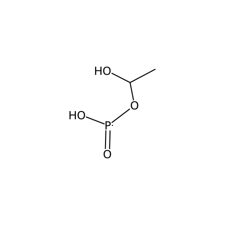 CC(O)O[P](=O)O